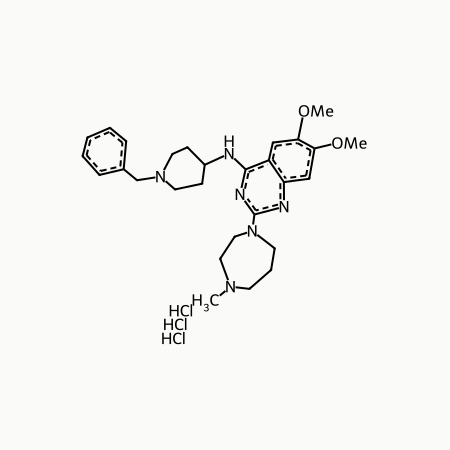 COc1cc2nc(N3CCCN(C)CC3)nc(NC3CCN(Cc4ccccc4)CC3)c2cc1OC.Cl.Cl.Cl